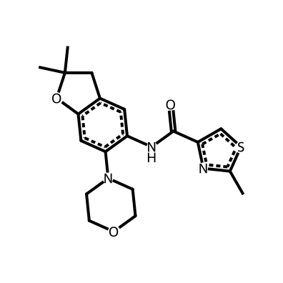 Cc1nc(C(=O)Nc2cc3c(cc2N2CCOCC2)OC(C)(C)C3)cs1